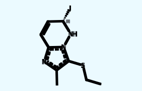 CCSc1c(C)nc2n1N[C@@H](I)C=C2